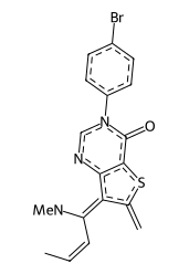 C=c1sc2c(=O)n(-c3ccc(Br)cc3)cnc2/c1=C(/C=C\C)NC